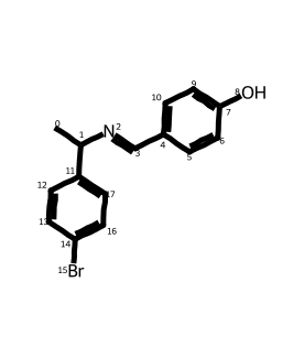 CC(/N=C/c1ccc(O)cc1)c1ccc(Br)cc1